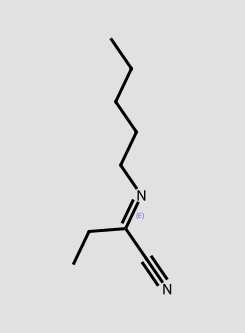 CCCCC/N=C(/C#N)CC